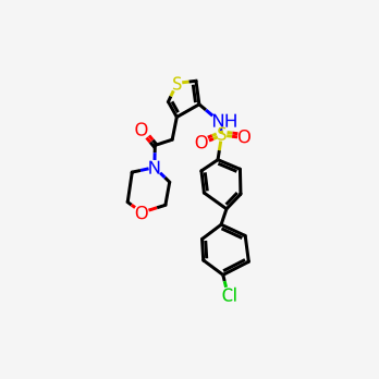 O=C(Cc1cscc1NS(=O)(=O)c1ccc(-c2ccc(Cl)cc2)cc1)N1CCOCC1